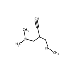 C#CC(CNC)CN(C)C